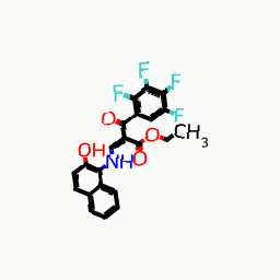 CCOC(=O)C(=CNc1c(O)ccc2ccccc12)C(=O)c1cc(F)c(F)c(F)c1F